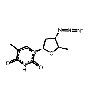 Cc1cn([C@H]2C[C@@H](N=[N+]=[N-])[C@@H](C)O2)c(=O)[nH]c1=O